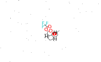 C[C@@H]1CC[C@H]2[C@@H](C)C(OC(=O)C(F)(F)F)O[C@@H]3OC4(C)CC[C@@H]1[C@]32OO4